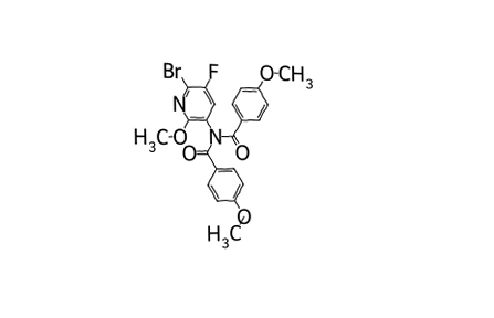 COc1ccc(C(=O)N(C(=O)c2ccc(OC)cc2)c2cc(F)c(Br)nc2OC)cc1